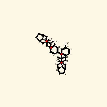 CC(C)N1CC2CCC(C1)N2C(=O)Cc1ccc(CC(C)(C)N2CC3CCC(C2)N3C(=O)Cc2ccc(F)cc2)cc1F